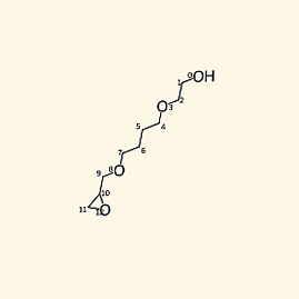 OCCOCCCCOCC1CO1